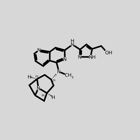 CN(c1nc(Nc2cc(CO)[nH]n2)cc2ncccc12)[C@@H]1C[C@H]2CC3C[C@@H](C1)N32